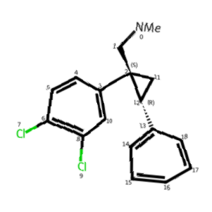 CNC[C@@]1(c2ccc(Cl)c(Cl)c2)C[C@@H]1c1ccccc1